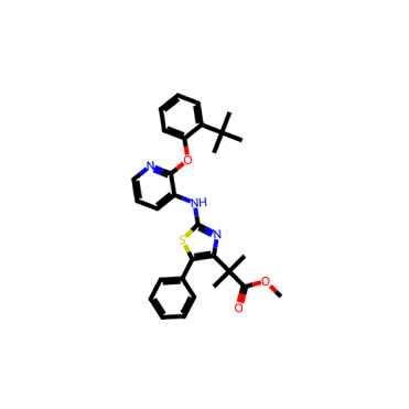 COC(=O)C(C)(C)c1nc(Nc2cccnc2Oc2ccccc2C(C)(C)C)sc1-c1ccccc1